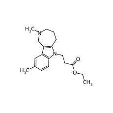 CCOC(=O)CCn1c2c(c3cc(C)ccc31)CN(C)CCC2